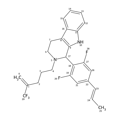 C=C(CCCN1CCc2c([nH]c3ccccc23)C1c1c(F)cc(/C=C/C)cc1F)C(F)(F)F